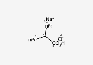 CCCC(CCC)C(=O)O.[Cl-].[Na+]